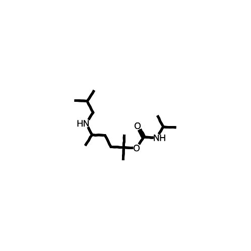 CC(C)CNC(C)CCC(C)(C)OC(=O)NC(C)C